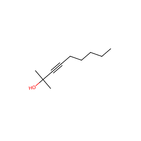 CCCCCC#CC(C)(C)O